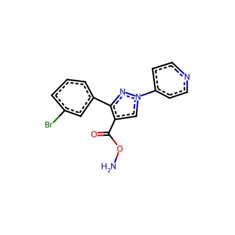 NOC(=O)c1cn(-c2ccncc2)nc1-c1cccc(Br)c1